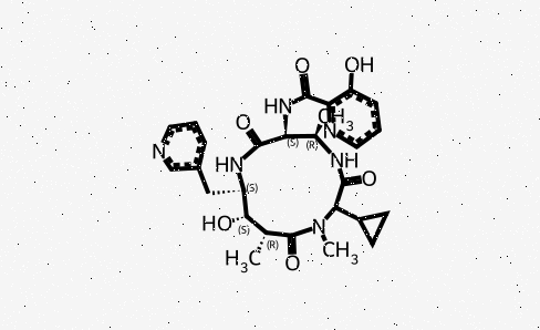 C[C@H]1NC(=O)C(C2CC2)N(C)C(=O)[C@H](C)[C@H](O)[C@H](Cc2cccnc2)NC(=O)[C@H]1NC(=O)c1ncccc1O